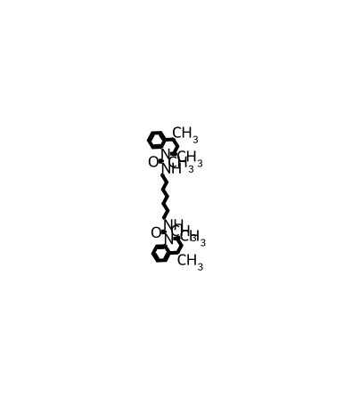 CC1CC(C)(C)N(C(=O)NCCCCCCCNC(=O)N2c3ccccc3C(C)CC2(C)C)c2ccccc21